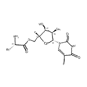 CC(C)[C@H](N)C(=O)OC[C@@]1(F)O[C@@H](n2cc(F)c(=O)[nH]c2=O)[C@H](O)[C@@H]1O